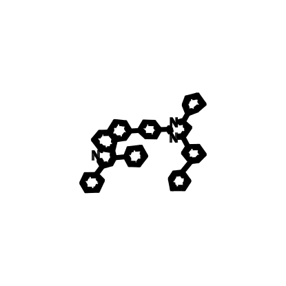 c1ccc(-c2cccc(-c3cc(-c4ccccc4)nc(-c4ccc(-c5ccc6ccc7nc(-c8ccccc8)cc(-c8ccccc8)c7c6c5)cc4)n3)c2)cc1